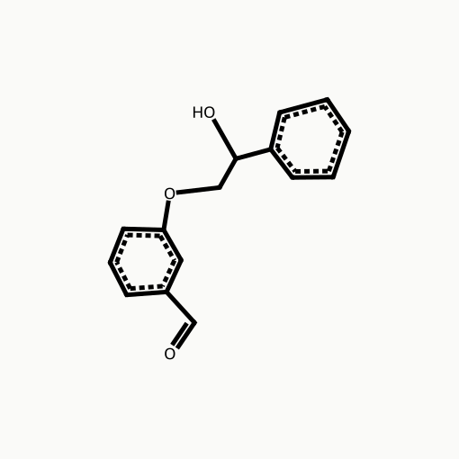 O=Cc1cccc(OCC(O)c2ccccc2)c1